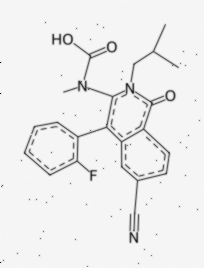 CC(C)Cn1c(N(C)C(=O)O)c(-c2ccccc2F)c2cc(C#N)ccc2c1=O